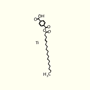 CCCCCCCCCCCCCCCCCC(=O)OC(=O)c1ccc(C(=O)O)cc1.[Ti]